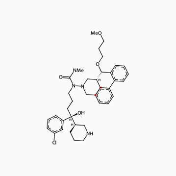 CNC(=O)N(CCC[C@@](O)(c1cccc(Cl)c1)[C@@H]1CCCNC1)N1CCC[C@@H](C(OCCCOC)c2ccccc2-c2ccccc2)C1